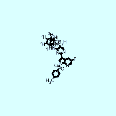 [2H]C1C([2H])[C@]2([2H])[C@H](Nc3nc(-c4cn(S(=O)(=O)c5ccc(C)cc5)c5ncc(F)cc45)ncc3F)[C@@H](C(=O)O)C1([2H])C([2H])([2H])C2([2H])[2H]